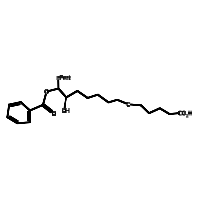 CCCCCC(OC(=O)c1ccccc1)C(O)CCCCCCCCCCC(=O)O